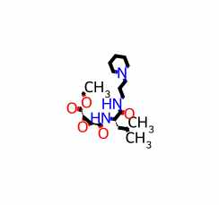 CCOC(=O)[C@H]1O[C@@H]1C(=O)N[C@@H](CC(C)C)C(=O)NCCCN1CCCCC1